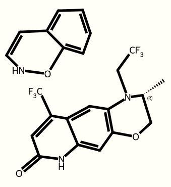 C1=Cc2ccccc2ON1.C[C@@H]1COc2cc3[nH]c(=O)cc(C(F)(F)F)c3cc2N1CC(F)(F)F